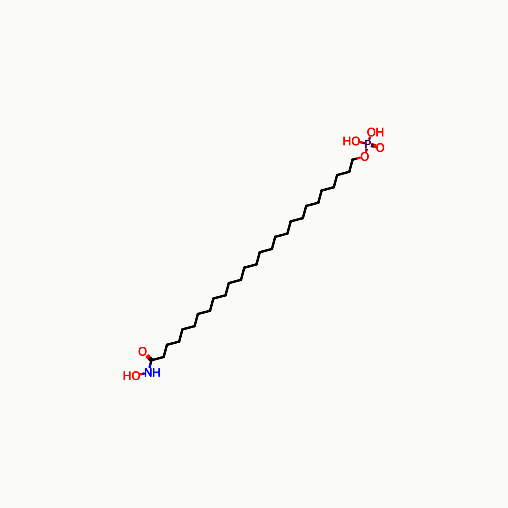 O=C(CCCCCCCCCCCCCCCCCCCCCCCCCCOP(=O)(O)O)NO